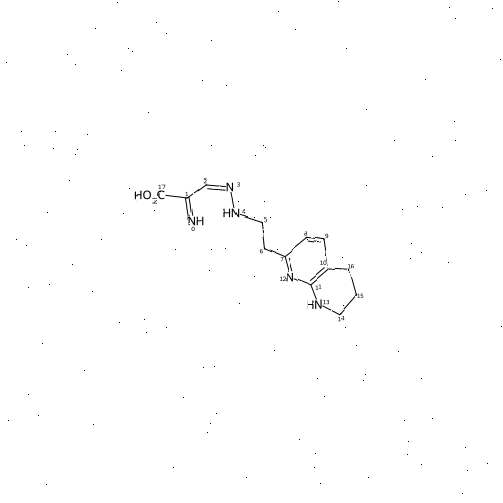 N=C(/C=N\NCCc1ccc2c(n1)NCCC2)C(=O)O